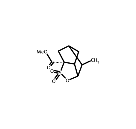 COC(=O)[C@]12CC3CC1C(OS2(=O)=O)C3C